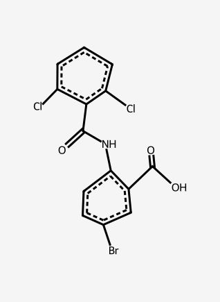 O=C(O)c1cc(Br)ccc1NC(=O)c1c(Cl)cccc1Cl